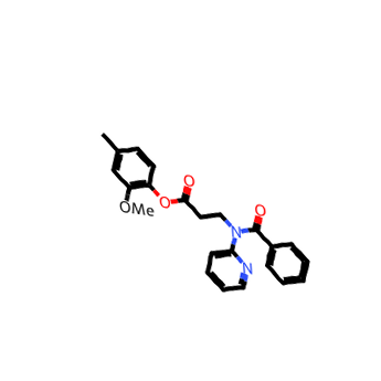 COc1cc(C)ccc1OC(=O)CCN(C(=O)C1=CC=C=C=C1)c1ccccn1